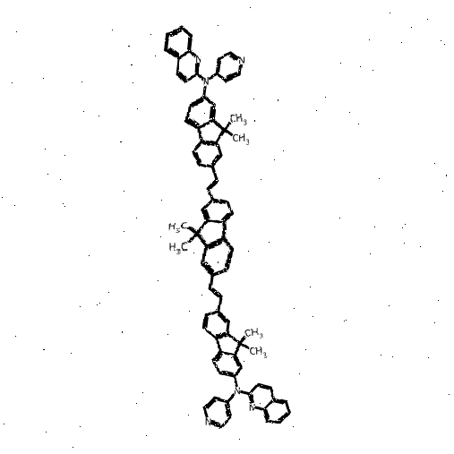 CC1(C)c2cc(/C=C/c3ccc4c(c3)C(C)(C)c3cc(N(c5ccncc5)c5ccc6ccccc6n5)ccc3-4)ccc2-c2ccc(/C=C/c3ccc4c(c3)C(C)(C)c3cc(N(c5ccncc5)c5ccc6ccccc6n5)ccc3-4)cc21